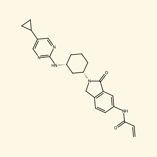 C=CC(=O)Nc1ccc2c(c1)C(=O)N([C@H]1CCC[C@@H](Nc3ncc(C4CC4)cn3)C1)C2